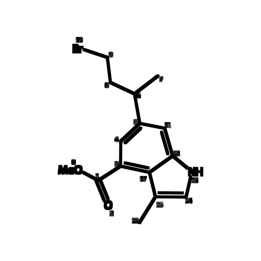 COC(=O)c1cc(C(C)CCBr)cc2[nH]cc(C)c12